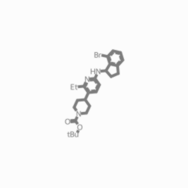 CCc1nc(NC2CCc3cccc(Br)c32)ccc1C1CCN(C(=O)OC(C)(C)C)CC1